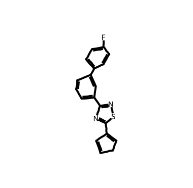 Fc1ccc(-c2cccc(-c3nsc(C4=CCC=C4)n3)c2)cc1